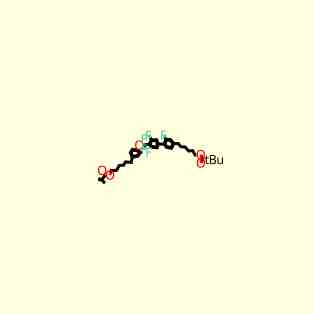 C=C(C)C(=O)OCCCCCCc1ccc(OC(F)(F)c2c(F)cc(-c3ccc(CCCCCCOC(=O)C(C)(C)C)cc3F)cc2F)cc1